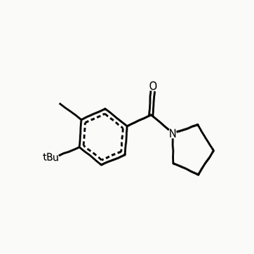 Cc1cc(C(=O)N2CCCC2)ccc1C(C)(C)C